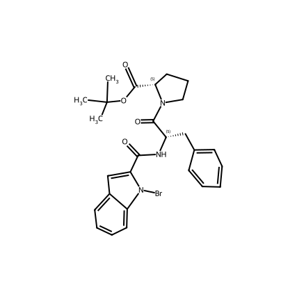 CC(C)(C)OC(=O)[C@@H]1CCCN1C(=O)[C@H](Cc1ccccc1)NC(=O)c1cc2ccccc2n1Br